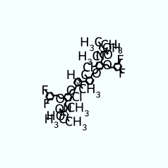 Cc1c(COc2cc(OCc3cc(F)cc(F)c3)c(CN(C)[C@@H](CC(C)C)C(=O)O)cc2Cl)cccc1-c1cccc(COc2cc(OCc3cc(F)cc(F)c3)c(CN(C)[C@@H](CC(C)C)C(=O)O)cc2Cl)c1C